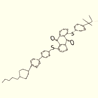 CCCCCC1CCC(c2ccc(-c3ccc(Sc4cccc5c4C(=O)c4cccc(Sc6ccc(C(C)(C)C(C)C)cc6)c4C5=O)cc3)cc2)CC1